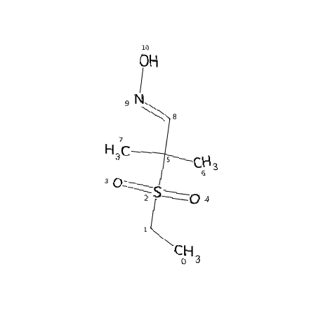 CCS(=O)(=O)C(C)(C)C=NO